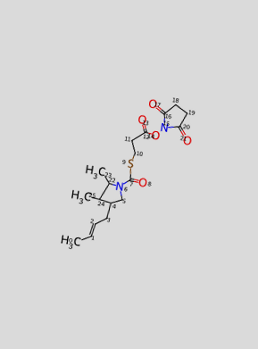 CC=CCC1CN(C(=O)SCCC(=O)ON2C(=O)CCC2=O)C(C)C1C